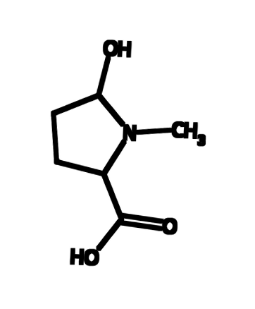 CN1C(O)CCC1C(=O)O